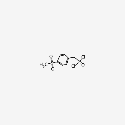 CS(=O)(=O)c1ccc(CP(=O)(Cl)Cl)cc1